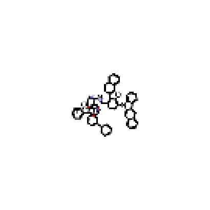 CC1C/C=C(c2cccc3c2oc2ccccc23)/N=C(c2ccc(-n3c4ccccc4c4cc5ccccc5cc43)c3oc4c5ccccc5ccc4c23)\N=C/1c1cccc(-c2ccccc2)c1